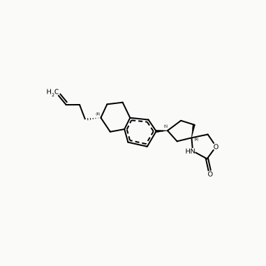 C=CCC[C@@H]1CCc2cc([C@H]3CC[C@]4(COC(=O)N4)C3)ccc2C1